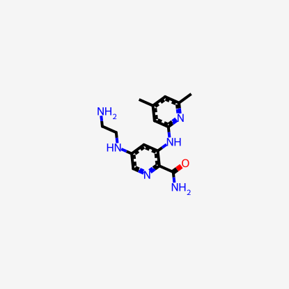 Cc1cc(C)nc(Nc2cc(NCCN)cnc2C(N)=O)c1